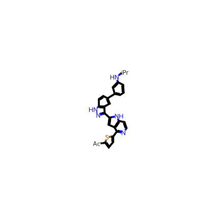 CC(=O)c1ccc(-c2nccc3[nH]c(-c4n[nH]c5ccc(-c6cccc(NC(C)C)c6)cc45)cc23)s1